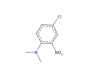 CN(C)c1ccc(Cl)cc1[N+](=O)[O-]